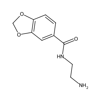 NCCNC(=O)c1ccc2c(c1)OCO2